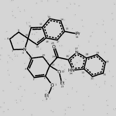 CCOC1=CC=C(N2CCCC23C=c2ccc(C(C)C)cc2=C3)CC1(OCC)C(=O)c1nc2ccccc2[nH]1